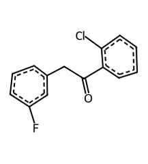 O=C(Cc1cccc(F)c1)c1ccccc1Cl